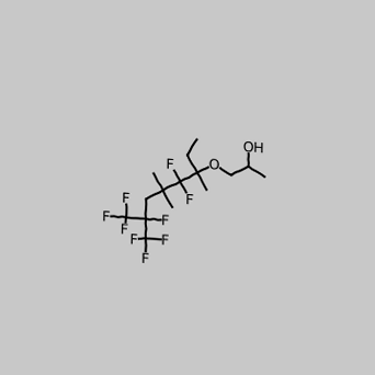 CCC(C)(OCC(C)O)C(F)(F)C(C)(C)CC(F)(C(F)(F)F)C(F)(F)F